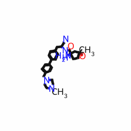 CN1CCN(Cc2ccc(-c3ccc(CC(C#N)NC(=O)C4(N)CC5O[C@@]5(C)C4)cc3)cc2)CC1